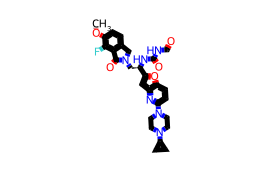 COc1ccc2c(c1F)C(=O)N(C[C@H](NC(=O)NC=O)c1cc3nc(N4CCN(C5CC5)CC4)ccc3o1)C2